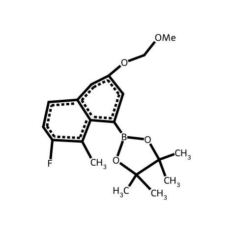 COCOc1cc(B2OC(C)(C)C(C)(C)O2)c2c(C)c(F)ccc2c1